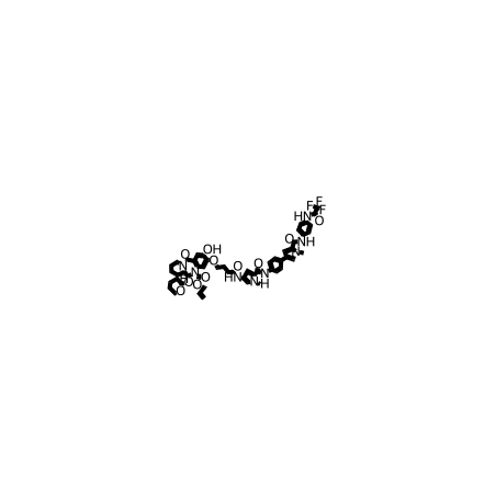 C=CCOC(=O)N1c2cc(OCCCC(=O)Nc3cc(C(=O)Nc4ccc(-c5cc(C(=O)Nc6ccc(NC(=O)C(F)(F)F)cc6)n(C)c5)cc4)n(C)c3)c(O)cc2C(=O)N2CCCC[C@H]2C1OC1CCCCO1